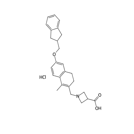 CC1=C(CN2CC(C(=O)O)C2)CCc2cc(OCC3Cc4ccccc4C3)ccc21.Cl